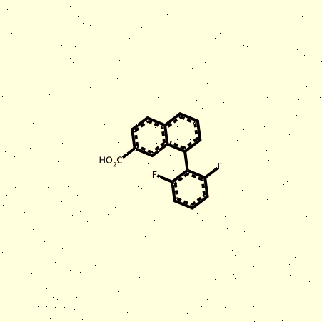 O=C(O)c1ccc2cccc(-c3c(F)cccc3F)c2c1